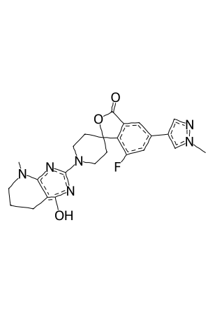 CN1CCCc2c(O)nc(N3CCC4(CC3)OC(=O)c3cc(-c5cnn(C)c5)cc(F)c34)nc21